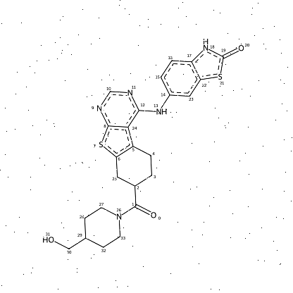 O=C(C1CCc2c(sc3ncnc(Nc4ccc5[nH]c(=O)sc5c4)c23)C1)N1CCC(CO)CC1